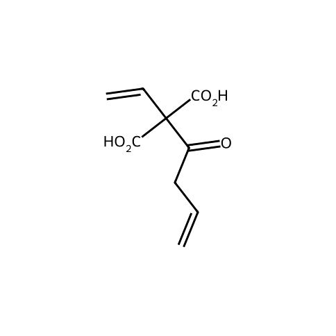 C=CCC(=O)C(C=C)(C(=O)O)C(=O)O